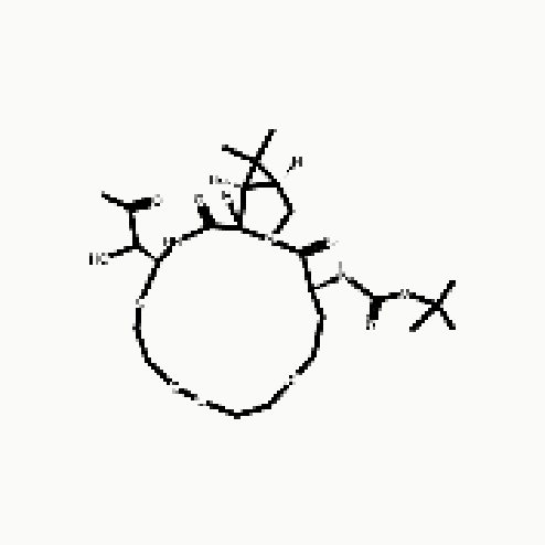 CC(=O)C(O)[C@@H]1CCCCCCCCCC[C@H](NC(=O)OC(C)(C)C)C(=O)N2C[C@H]3[C@@H]([C@H]2C(=O)N1)C3(C)C